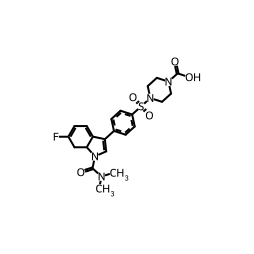 CN(C)C(=O)N1C=C(c2ccc(S(=O)(=O)N3CCN(C(=O)O)CC3)cc2)C2=CC=C(F)CC21